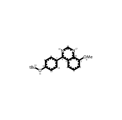 COc1cccc2c(-c3ccc(OC(C)(C)C)cc3)ncnc12